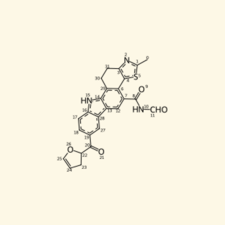 Cc1nc2c(s1)-c1c(C(=O)NC=O)cc3c([nH]c4ccc(C(=O)C5CC=CO5)cc43)c1CC2